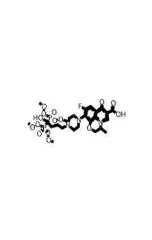 COOP(=O)(OOC)C(O)(CCCN1CCN(c2c(F)cc3c(=O)c(C(=O)O)cn4c3c2OCC4C)CC1)P(=O)(OOC)OOC